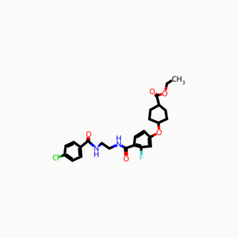 CCOC(=O)C1CCC(Oc2ccc(C(=O)NCCNC(=O)c3ccc(Cl)cc3)c(F)c2)CC1